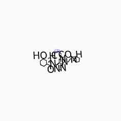 O=C(Nc1ncnc2c1cnn2CCN1CCCC1)C1CCCCC1.O=C(O)/C=C\C(=O)O